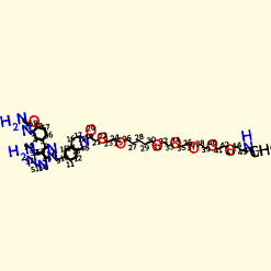 Nc1nc2cc(-c3nn(Cc4ccc5c(c4)CCN(C(=O)COCCOCCCCCOCCOCCOCCOCCOCCNC=O)C5)c4ncnc(N)c34)ccc2o1